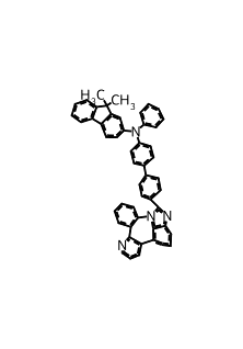 CC1(C)c2ccccc2-c2ccc(N(c3ccccc3)c3ccc(-c4ccc(-c5nc6cccc7c6n5-c5ccccc5-c5ncccc5-7)cc4)cc3)cc21